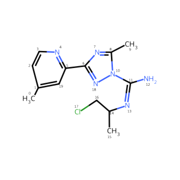 Cc1ccnc(-c2nc(C)n(/C(N)=N\C(C)CCl)n2)c1